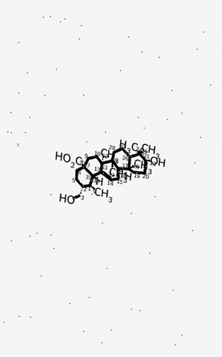 C[C@H]1[C@H](CO)CC[C@]2(C(=O)O)CC[C@]3(C)C(=CC[C@@H]4[C@@]5(C)CC[C@H](O)C(C)(C)C5CC[C@]43C)[C@H]12